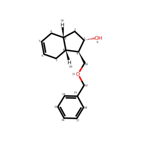 O[C@H]1C[C@H]2CC=CC[C@H]2[C@@H]1COCc1ccccc1